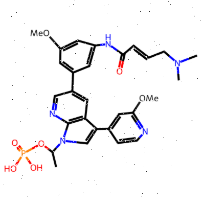 COc1cc(NC(=O)C=CCN(C)C)cc(-c2cnc3c(c2)c(-c2ccnc(OC)c2)cn3C(C)OP(=O)(O)O)c1